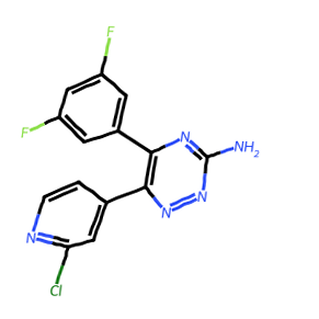 Nc1nnc(-c2ccnc(Cl)c2)c(-c2cc(F)cc(F)c2)n1